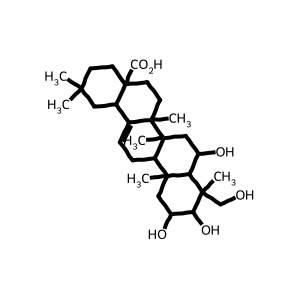 CC1(C)CCC2(C(=O)O)CCC3(C)C(=CCC4C5(C)CC(O)C(O)C(C)(CO)C5C(O)CC43C)C2C1